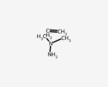 C=C.CN(C)N